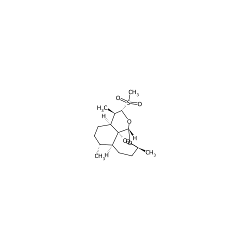 C[C@H]1[C@H](S(C)(=O)=O)O[C@@H]2O[C@@]3(C)CC[C@H]4[C@H](C)CC[C@@H]1[C@@]24OO3